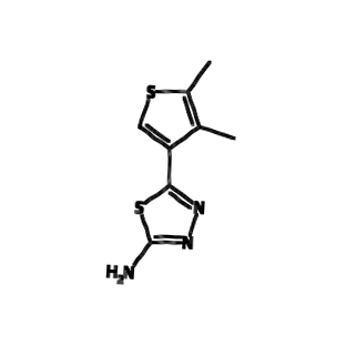 Cc1scc(-c2nnc(N)s2)c1C